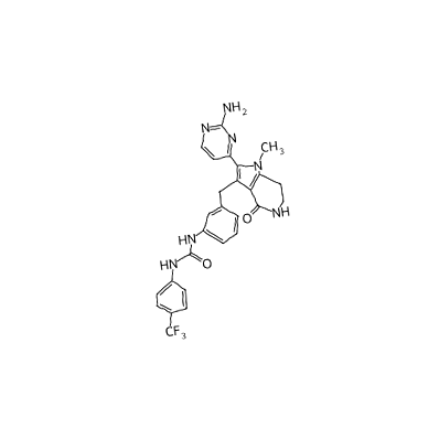 Cn1c2c(c(Cc3cccc(NC(=O)Nc4ccc(C(F)(F)F)cc4)c3)c1-c1ccnc(N)n1)C(=O)NCC2